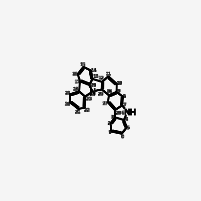 c1ccc2c(c1)[nH]c1cc3ccc4c5cccc6c7ccccc7n(c4c3cc12)c65